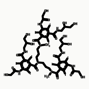 CN(CCCN(CCCN(C)C(=O)c1c(I)c(NC(=O)CO)c(I)c(C(=O)NCC(O)CO)c1I)C(=O)c1c(I)c(NC(=O)CO)c(I)c(C(=O)NCC(O)CO)c1I)C(=O)c1c(I)c(NC(=O)CO)c(I)c(C(=O)NCC(O)CO)c1I